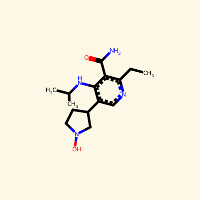 CCc1ncc(C2CCN(O)C2)c(NC(C)C)c1C(N)=O